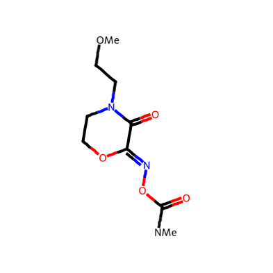 CNC(=O)ON=C1OCCN(CCOC)C1=O